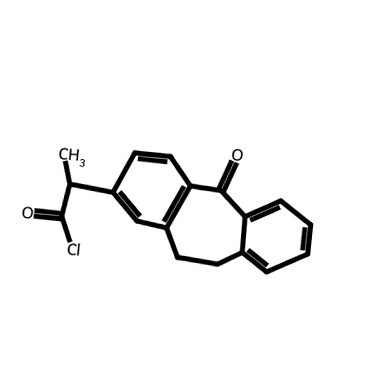 CC(C(=O)Cl)c1ccc2c(c1)CCc1ccccc1C2=O